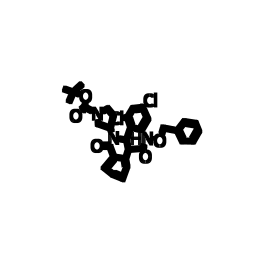 CC(C)(C)OC(=O)N1CCC(N2C(=O)c3ccccc3C(C(=O)NOCc3ccccc3)C2c2ccc(Cl)cc2Cl)C1